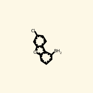 Bc1cccc2oc3cc(Cl)ccc3c12